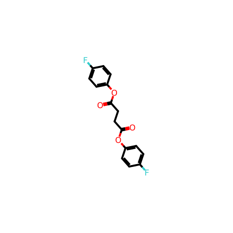 O=C(CCC(=O)Oc1ccc(F)cc1)Oc1ccc(F)cc1